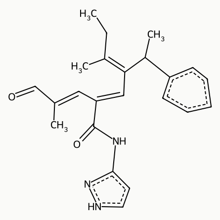 CC/C(C)=C(/C=C(\C=C(/C)C=O)C(=O)Nc1cc[nH]n1)C(C)c1ccccc1